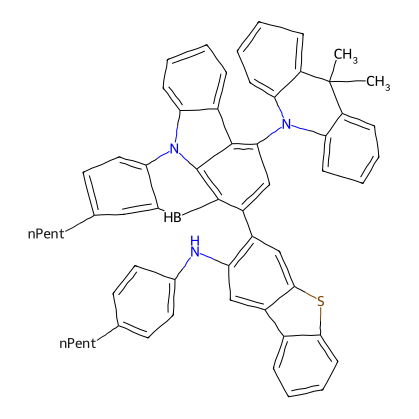 CCCCCc1ccc(Nc2cc3c(cc2-c2cc(N4c5ccccc5C(C)(C)c5ccccc54)c4c5ccccc5n5c4c2Bc2cc(CCCCC)ccc2-5)sc2ccccc23)cc1